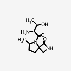 CC1CCC2(CNC2=O)N1C(=O)[C@@H](N)[C@@H](C)O